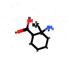 CC1(N)CCCCC1C(=O)O